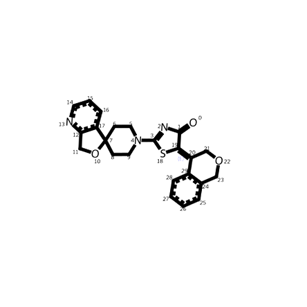 O=C1N=C(N2CCC3(CC2)OCc2ncccc23)S/C1=C1/COCc2ccccc21